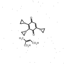 C/C(=C/C(=O)O)C(=O)O.O=C1C=C(N2CC2)C(=O)C(N2CC2)=C1N1CC1